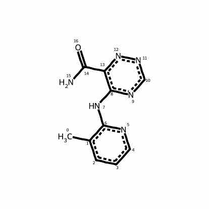 Cc1cccnc1Nc1ncnnc1C(N)=O